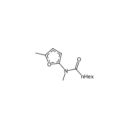 CCCCCCC(=O)N(C)c1ccc(C)o1